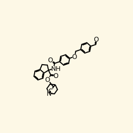 O=Cc1ccc(COc2ccc(C(=O)NC3(C(=O)OC4CN5CCC4CC5)CCc4ccccc43)cc2)cc1